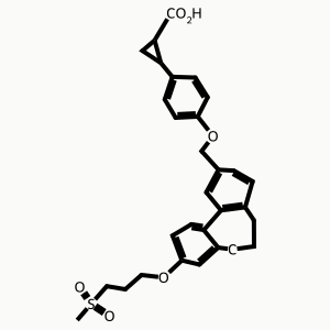 CS(=O)(=O)CCCOc1ccc2c(c1)CCCc1ccc(COc3ccc(C4CC4C(=O)O)cc3)cc1-2